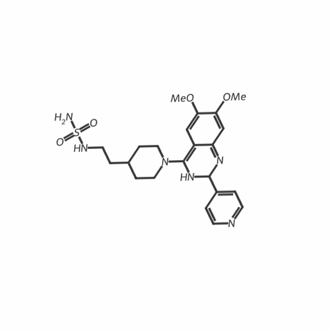 COc1cc2c(cc1OC)=C(N1CCC(CCNS(N)(=O)=O)CC1)NC(c1ccncc1)N=2